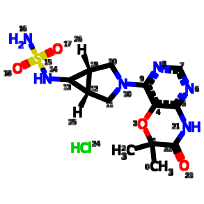 CC1(C)Oc2c(ncnc2N2C[C@@H]3C(NS(N)(=O)=O)[C@@H]3C2)NC1=O.Cl